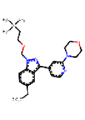 CCOC(=O)Cc1ccc2c(c1)c(-c1ccnc(N3CCOCC3)c1)nn2COCC[Si](C)(C)C